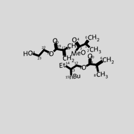 C=C(C)C(=O)OC.C=C(C)C(=O)OCC(CC)CCCC.C=C(C)C(=O)OCCO